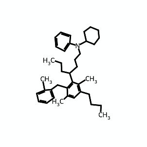 CCCCc1cc(C)c(Cc2ccccc2C)c(C(CCC)CCCN(c2ccccc2)C2CCCCC2)c1C